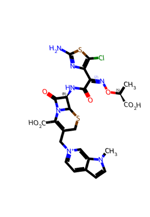 C[C@H](O/N=C(\C(=O)N[C@@H]1C(=O)N2C(C(=O)O)=C(C[n+]3ccc4ccn(C)c4c3)CSC12)c1nc(N)sc1Cl)C(=O)O